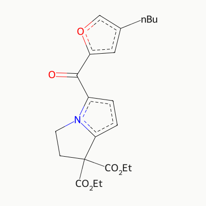 CCCCc1coc(C(=O)c2ccc3n2CCC3(C(=O)OCC)C(=O)OCC)c1